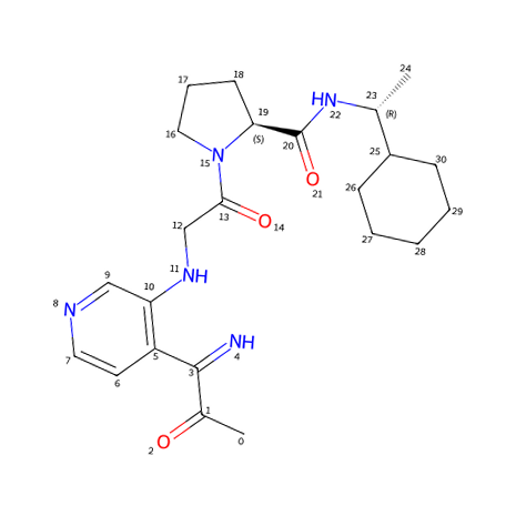 CC(=O)C(=N)c1ccncc1NCC(=O)N1CCC[C@H]1C(=O)N[C@H](C)C1CCCCC1